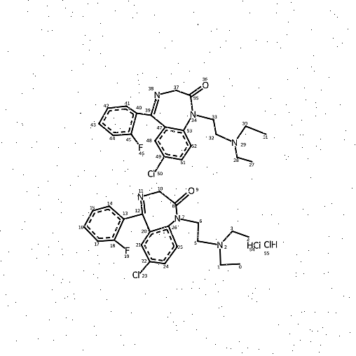 CCN(CC)CCN1C(=O)CN=C(c2ccccc2F)c2cc(Cl)ccc21.CCN(CC)CCN1C(=O)CN=C(c2ccccc2F)c2cc(Cl)ccc21.Cl.Cl